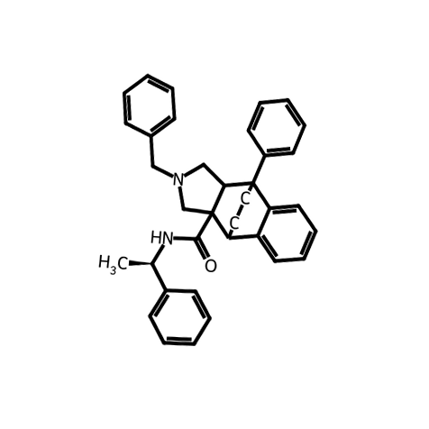 C[C@@H](NC(=O)C12CN(Cc3ccccc3)CC1C1(c3ccccc3)CCC2c2ccccc21)c1ccccc1